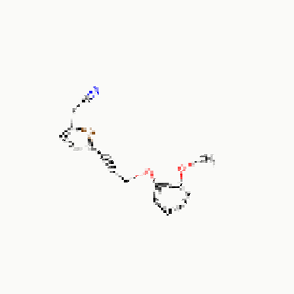 COc1ccccc1OCC#Cc1ccc(CC#N)s1